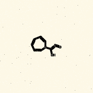 O=S=C(O)N1C=CC=CC=C1